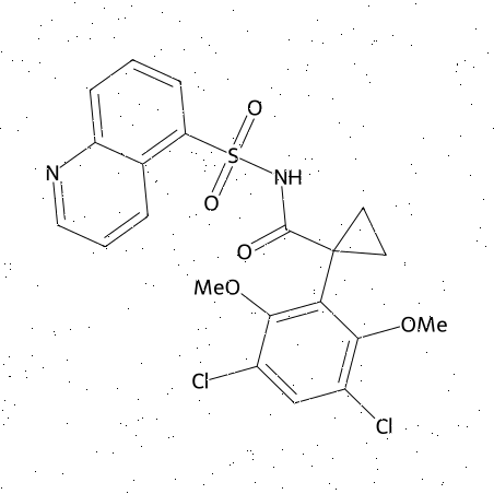 COc1c(Cl)cc(Cl)c(OC)c1C1(C(=O)NS(=O)(=O)c2cccc3ncccc23)CC1